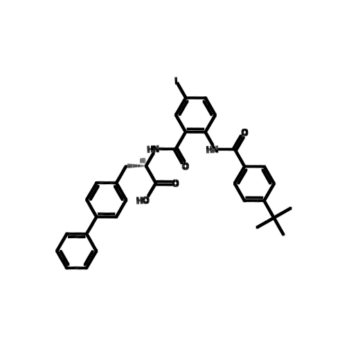 CC(C)(C)c1ccc(C(=O)Nc2ccc(I)cc2C(=O)N[C@@H](Cc2ccc(-c3ccccc3)cc2)C(=O)O)cc1